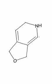 [C]1=C2COCC2=CCN1